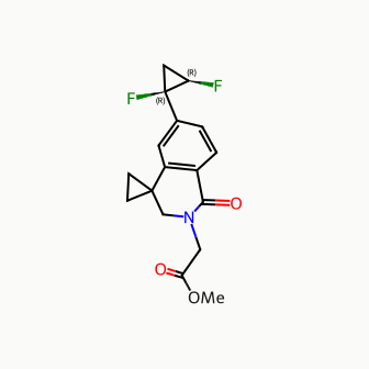 COC(=O)CN1CC2(CC2)c2cc([C@]3(F)C[C@H]3F)ccc2C1=O